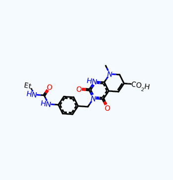 CCNC(=O)Nc1ccc(Cn2c(=O)[nH]c3c(c2=O)C=C(C(=O)O)CN3C)cc1